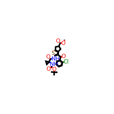 COC(=O)C1Cc2sc(NC(=O)C3(NC(=O)OC(C)(C)C)CC3)c(C(=O)c3ccccc3Cl)c2C1